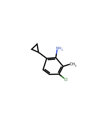 Cc1c(Cl)ccc([C]2CC2)c1N